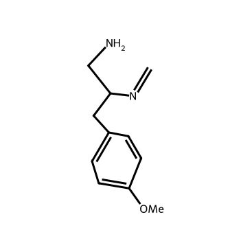 C=NC(CN)Cc1ccc(OC)cc1